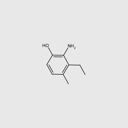 CCc1c(C)ccc(O)c1N